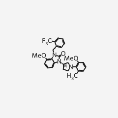 COc1cccc(C)c1N1CC[C@@H](n2c(=O)n(Cc3ccccc3C(F)(F)F)c3c(OC)cccc32)C1